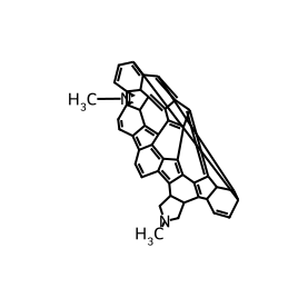 CN1CC2C3=c4c5c6c7c8c9c%10c%11c(c%12ccc%13c(c4c(c69)c%13c%12%10)C2C1)C=CC12CN(C)CC14C=CC1=C(C=7C6C1C=CC3C56)C4C=8C%112